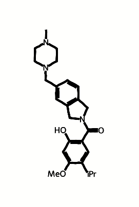 COc1cc(O)c(C(=O)N2Cc3ccc(CN4CCN(C)CC4)cc3C2)cc1C(C)C